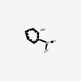 O=[N+](O)c1ccccc1.[KH]